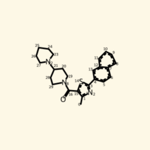 Cc1nc(-c2ccc3ccccc3c2)sc1C(=O)N1CCC(N2CCCCC2)CC1